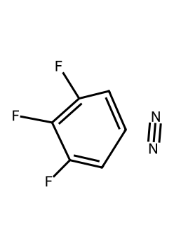 Fc1cccc(F)c1F.N#N